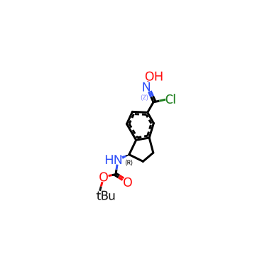 CC(C)(C)OC(=O)N[C@@H]1CCc2cc(/C(Cl)=N/O)ccc21